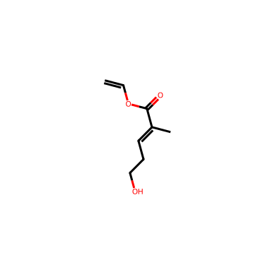 C=COC(=O)C(C)=CCCO